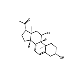 CC(=O)[C@H]1CC[C@H]2C3=CC=C4CC(O)CC[C@]4(C)[C@H]3C(O)C[C@]12C